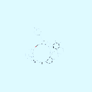 C[C@@H]1[C@@H](C)S(=O)(=O)NC(=O)c2ccc3c(c2)N(C[C@@H]2CC[C@H]2[C@@H](OCC2CCN(C)CC2)C2=C[C@H]1C2)C[C@@]1(CCCc2c1ccc(Cl)c2F)CO3